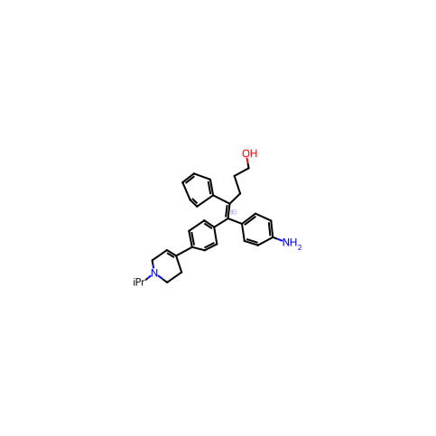 CC(C)N1CC=C(c2ccc(/C(=C(/CCCO)c3ccccc3)c3ccc(N)cc3)cc2)CC1